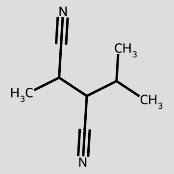 CC(C)C(C#N)C(C)C#N